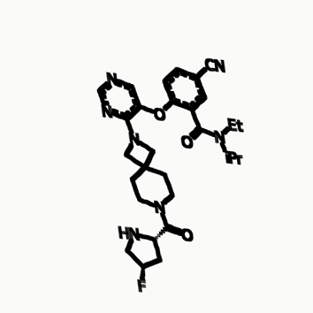 CCN(C(=O)c1cc(C#N)ccc1Oc1cncnc1N1CC2(CCN(C(=O)[C@@H]3C[C@@H](F)CN3)CC2)C1)C(C)C